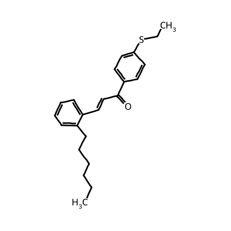 CCCCCCc1ccccc1/C=C/C(=O)c1ccc(SCC)cc1